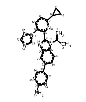 C=C(C)n1c(-c2nc(C3CC3)ccc2-n2cncn2)nc2cc(-c3cnc(N)nc3)ccc21